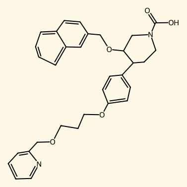 O=C(O)N1CCC(c2ccc(OCCCOCc3ccccn3)cc2)C(OCc2ccc3ccccc3c2)C1